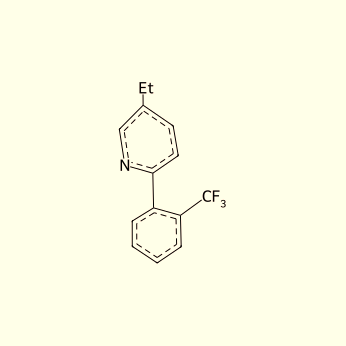 CCc1ccc(-c2ccccc2C(F)(F)F)nc1